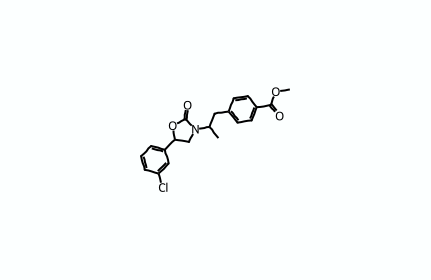 COC(=O)c1ccc(CC(C)N2CC(c3cccc(Cl)c3)OC2=O)cc1